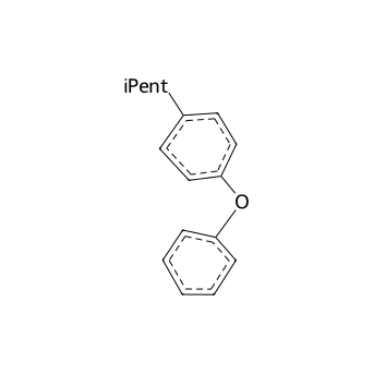 [CH2]CCC(C)c1ccc(Oc2ccccc2)cc1